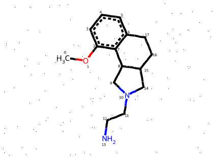 COc1cccc2c1C1CN(CCN)CC1CC2